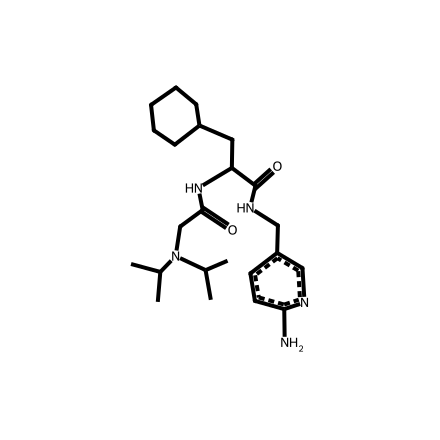 CC(C)N(CC(=O)NC(CC1CCCCC1)C(=O)NCc1ccc(N)nc1)C(C)C